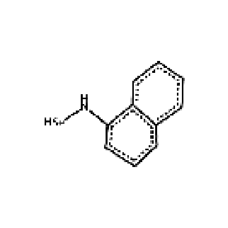 [SeH]Nc1cccc2ccccc12